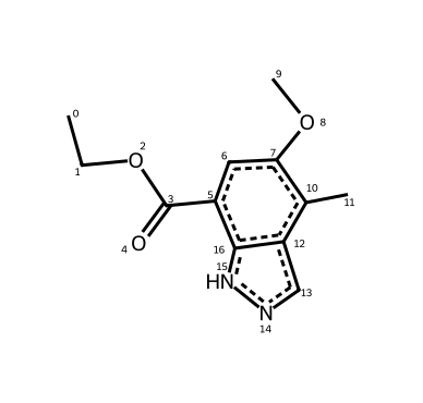 CCOC(=O)c1cc(OC)c(C)c2cn[nH]c12